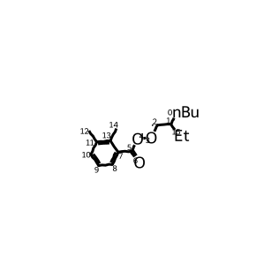 CCCCC([CH]OOC(=O)c1cccc(C)c1C)CC